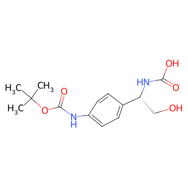 CC(C)(C)OC(=O)Nc1ccc([C@@H](CO)NC(=O)O)cc1